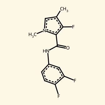 Cc1cn(C)c(C(=O)Nc2ccc(F)c(F)c2)c1F